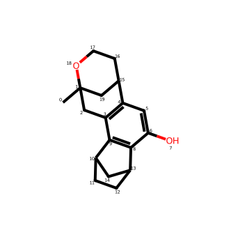 CC12Cc3c(cc(O)c4c3C3CCC4C3)C(CCO1)C2